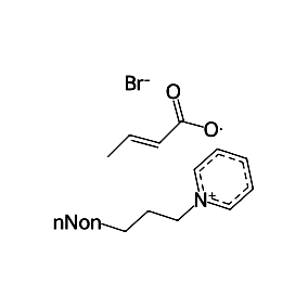 CC=CC([O])=O.CCCCCCCCCCCC[n+]1ccccc1.[Br-]